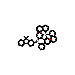 CC1(C)c2ccccc2-c2ccc(N(c3ccccc3)c3cccc4c3-c3ccccc3[Si]4(c3cccc4ccccc34)c3cccc4ccccc34)cc21